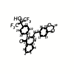 O=c1c2ccccc2nc(Cc2ccc3c(c2)OCO3)n1-c1ccc(C(O)(C(F)(F)F)C(F)(F)F)cc1